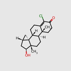 C[C@]12CCC(=O)C(Cl)=C1CC[C@@H]1[C@@H]2CC[C@]2(C)[C@@H](O)C[C@@H]3C[C@]312